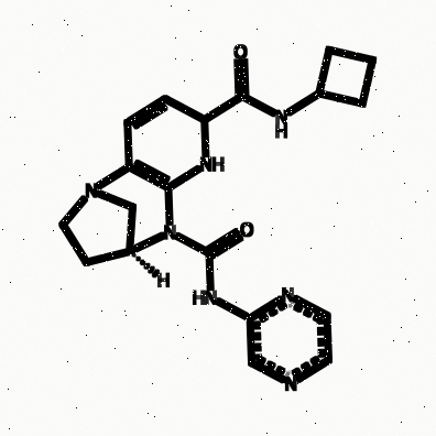 O=C(NC1CCC1)C1C=CC2=C(N1)N(C(=O)Nc1cnccn1)[C@H]1CCN2C1